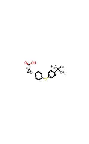 CC(C)(C)c1ccc(Sc2ccc([C@@H]3C[C@H]3C(=O)O)cc2)cc1